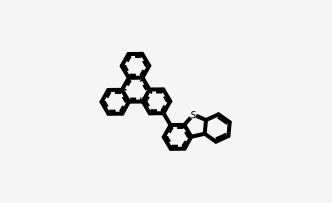 C1=CC2Sc3c(-c4ccc5c6ccccc6c6ccccc6c5c4)cccc3C2C=C1